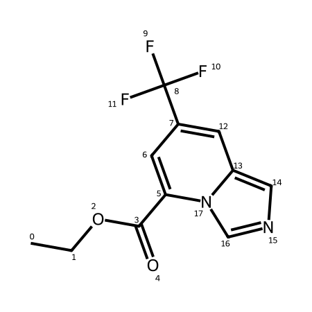 CCOC(=O)c1cc(C(F)(F)F)cc2cncn12